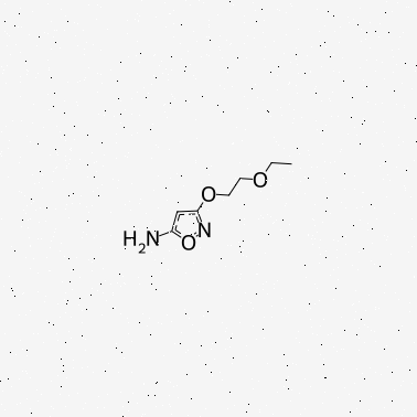 CCOCCOc1cc(N)on1